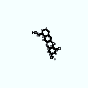 ON=C1CCCc2cc(Oc3c(F)cc(C(F)(F)F)cc3Cl)ccc21